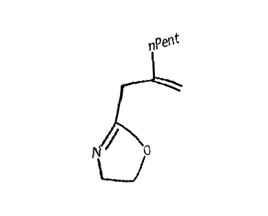 C=C(CCCCC)CC1=NCCO1